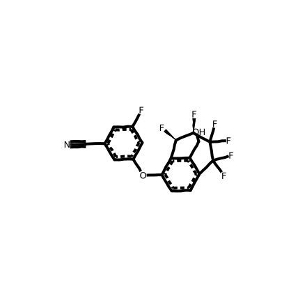 N#Cc1cc(F)cc(Oc2ccc3c(CO)c2[C@@H](F)[C@@H](F)C(F)(F)C3(F)F)c1